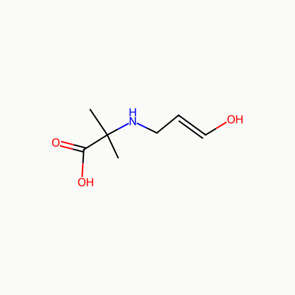 CC(C)(NCC=CO)C(=O)O